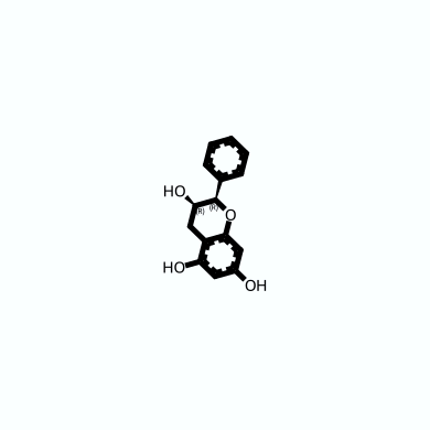 Oc1cc(O)c2c(c1)O[C@H](c1ccccc1)[C@H](O)C2